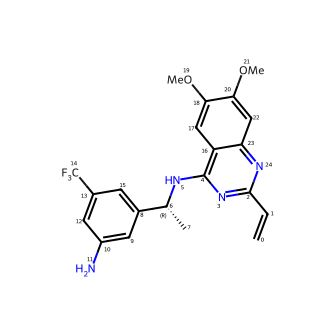 C=Cc1nc(N[C@H](C)c2cc(N)cc(C(F)(F)F)c2)c2cc(OC)c(OC)cc2n1